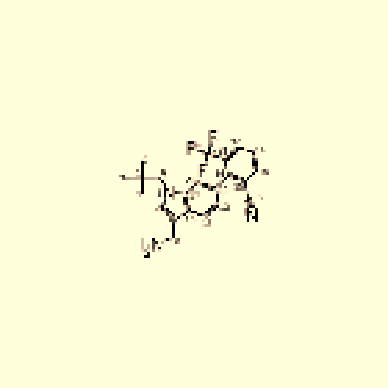 CC(C)(C)Cn1cc(CN)c2ccc(-c3c(C#N)cccc3C(F)(F)F)cc21